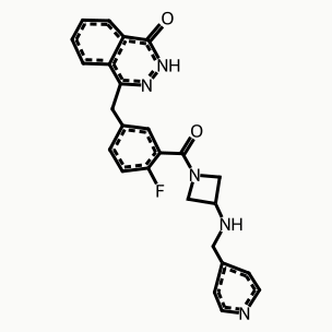 O=C(c1cc(Cc2n[nH]c(=O)c3ccccc23)ccc1F)N1CC(NCc2ccncc2)C1